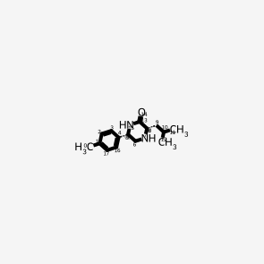 Cc1ccc([C@H]2CN[C@@H](CC(C)C)C(=O)N2)cc1